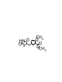 COC(=O)c1cc(CC2SC(=O)NC2=O)ccc1OC